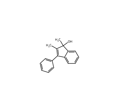 CC1=C(c2ccccc2)c2ccccc2C1(C)O